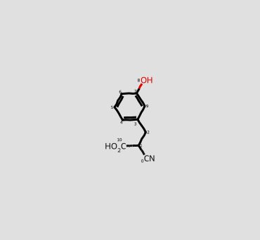 N#CC(Cc1cccc(O)c1)C(=O)O